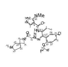 C/C=C(NC(=O)c1cn[nH]c1NC)\C(=N/NCC(=O)N1CC2(CCN(C)C2)C1)c1cc(Cl)ccc1OC(F)F